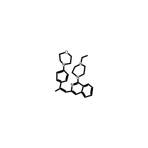 CCN1CCN(c2nc(C=C(C)c3ccc(N4CCOCC4)cc3)cc3ccccc23)CC1